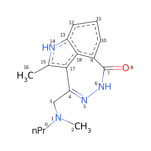 CCCN(C)CC1=NNC(=O)c2cccc3[nH]c(C)c1c23